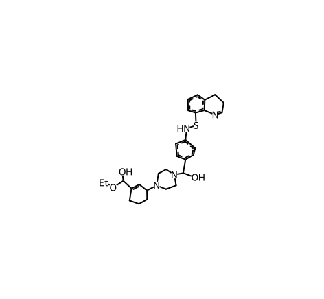 CCOC(O)C1=CC(N2CCN(C(O)c3ccc(NSc4cccc5c4N=CCC5)cc3)CC2)CCC1